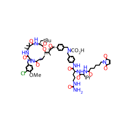 COc1ccc(C[C@H]2NC(=O)/C=C/C[C@@H]([C@H](C)[C@H]3O[C@@H]3c3ccc(CN(Cc4ccc(NC(=O)C(CCCNC(N)=O)NC(=O)C(NC(=O)CCCCCN5C(=O)C=CC5=O)C(C)C)cc4)C(=O)O)cc3)OC(=O)[C@H](CC(C)(C)C)NC(=O)C(C)(C)[C@H](C)NC2=O)cc1Cl